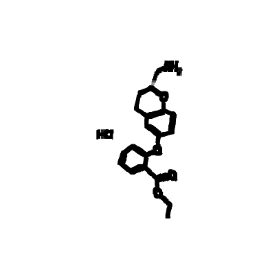 CCOC(=O)c1ccccc1Oc1ccc2c(c1)CC[C@H](CN)O2.Cl